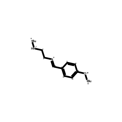 CC(C)(C)NCC/N=C/c1ccc(OC(C)(C)C)cc1